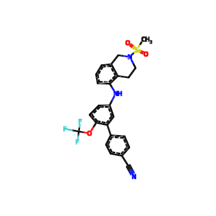 CS(=O)(=O)N1CCc2c(cccc2Nc2ccc(OC(F)(F)F)c(-c3ccc(C#N)cc3)c2)C1